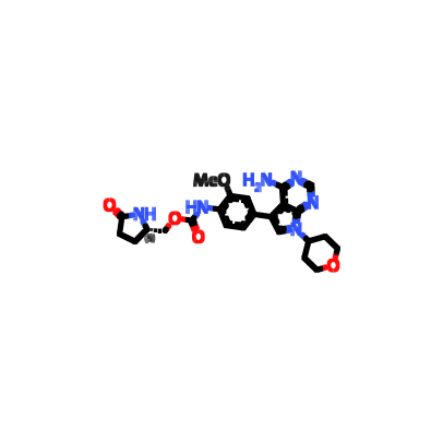 COc1cc(-c2cn(C3CCOCC3)c3ncnc(N)c23)ccc1NC(=O)OC[C@@H]1CCC(=O)N1